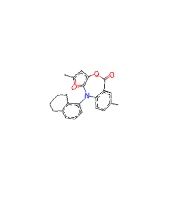 Cc1ccc2c(c1)C(=O)Oc1cc(C)oc1N2c1cccc2c1CCCC2